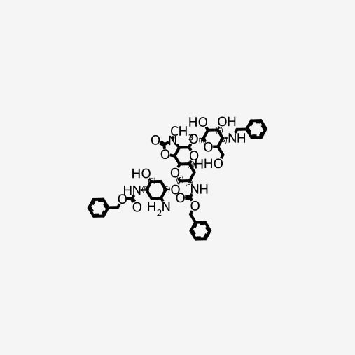 CN1C(=O)OC2C3O[C@H](O[C@H]4C[C@H](O)[C@H](NC(=O)OCc5ccccc5)CC4N)[C@@H](NC(=O)OCc4ccccc4)C[C@@H]3OC(O[C@H]3OC(CO)[C@@H](NCc4ccccc4)[C@H](O)C3O)C21